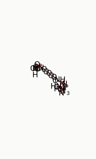 CN1CCN(c2ccc(-c3cccc(CN4CCN(CCCCCNC(=O)CCOCCOCCOCCOCCOCCNc5cccc6c5C(=O)N(C5CCC(=O)NC5=O)C6=O)CC4)c3)cc2NC(=O)c2c[nH]c(=O)cc2C(F)(F)F)CC1